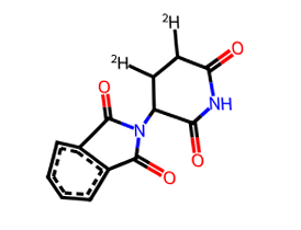 [2H]C1C(=O)NC(=O)C(N2C(=O)c3ccccc3C2=O)C1[2H]